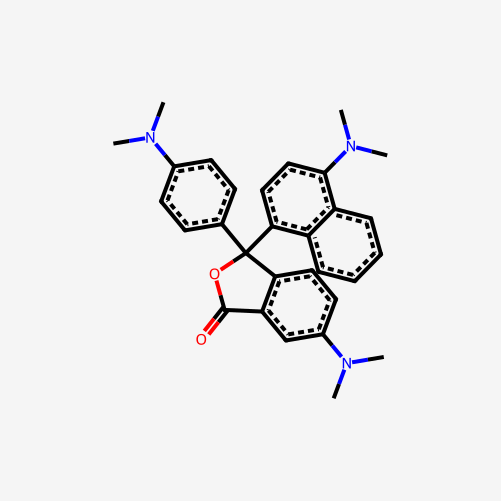 CN(C)c1ccc(C2(c3ccc(N(C)C)c4ccccc34)OC(=O)c3cc(N(C)C)ccc32)cc1